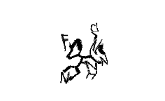 Fc1ccc(C2=C3C(=NC=CN3CCCCl)NC2c2ccncc2)cc1